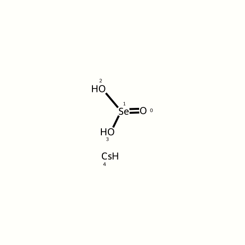 O=[Se](O)O.[CsH]